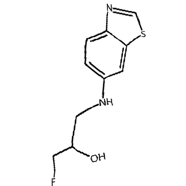 OC(CF)CNc1ccc2ncsc2c1